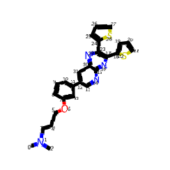 CN(C)CCCOc1cccc(-c2cnc3nc(-c4cccs4)c(-c4cccs4)nc3c2)c1